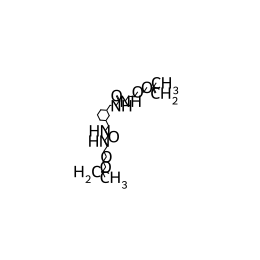 C=C(C)OCOCCNC(=O)NCC1CCCC(CNC(=O)NCCOCOC(=C)C)C1